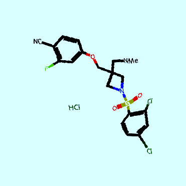 CNCC1(COc2ccc(C#N)c(F)c2)CN(S(=O)(=O)c2ccc(Cl)cc2Cl)C1.Cl